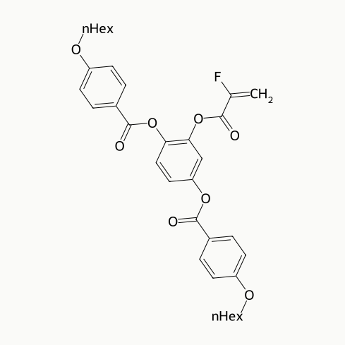 C=C(F)C(=O)Oc1cc(OC(=O)c2ccc(OCCCCCC)cc2)ccc1OC(=O)c1ccc(OCCCCCC)cc1